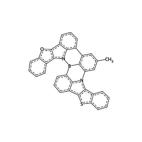 Cc1cc2c3c(c1)-n1c4c(cccc4c4sc5ccccc5c41)B3n1c3c-2cccc3c2oc3ccccc3c21